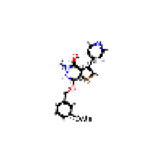 COc1cccc(COc2nn(C)c(=O)c3c(-c4ccncc4)csc23)c1